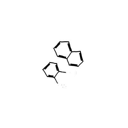 CSc1ccccc1C(=O)O.c1ccc2ccccc2c1